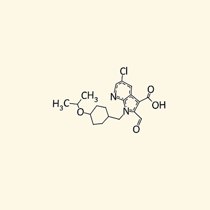 CC(C)OC1CCC(Cn2c(C=O)c(C(=O)O)c3cc(Cl)cnc32)CC1